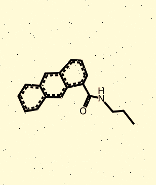 [CH2]CCNC(=O)c1cccc2cc3ccccc3cc12